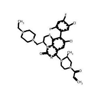 C=CC(=O)N1CCN(c2nc(=O)n3c4c(c(-c5cc(Cl)c(F)cc5F)c(Cl)cc24)SC[C@@H]3CN2CCN(CC)CC2)[C@@H](C)C1